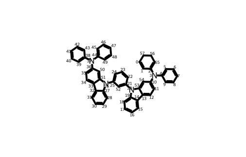 C1=CC(N(c2ccccc2)c2ccc3c4ccccc4n(-c4cccc(-n5c6ccccc6c6ccc(N(c7ccccc7)c7ccccc7)cc65)c4)c3c2)=CCC1